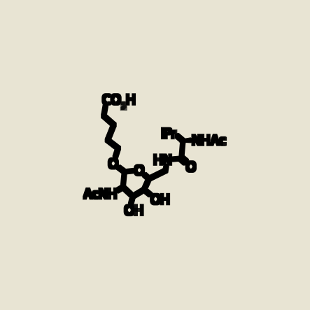 CC(=O)NC1C(OCCCCC(=O)O)OC(CNC(=O)[C@H](NC(C)=O)C(C)C)C(O)C1O